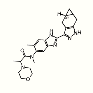 Cc1cc2[nH]c(-c3n[nH]c4c3C[C@@H]3CC3C4)nc2cc1N(C)C(=O)C(C)N1CCOCC1